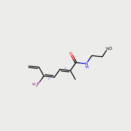 C=C/C(P)=C\C=C(/C)C(=O)NCCN=O